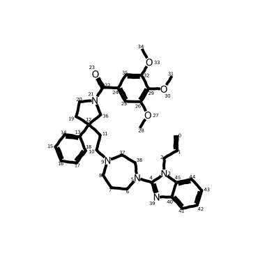 C=CCn1c(N2CCCN(CCC3(c4ccccc4)CCN(C(=O)c4cc(OC)c(OC)c(OC)c4)C3)CC2)nc2ccccc21